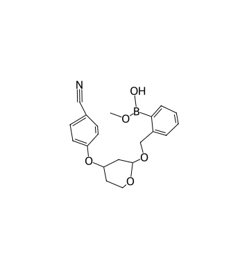 COB(O)c1ccccc1COC1CC(Oc2ccc(C#N)cc2)CCO1